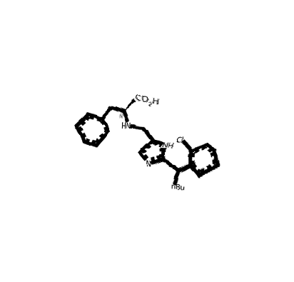 CCCCC(c1ncc(CN[C@@H](Cc2ccccc2)C(=O)O)[nH]1)c1ccccc1Cl